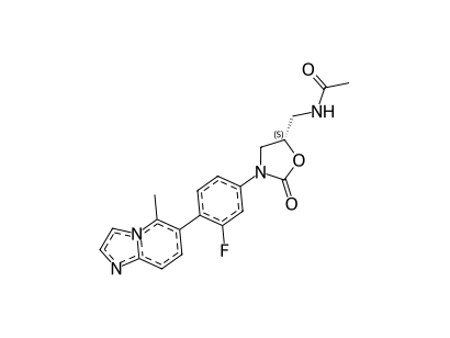 CC(=O)NC[C@H]1CN(c2ccc(-c3ccc4nccn4c3C)c(F)c2)C(=O)O1